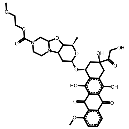 COCCOC(=O)N1CCN2C(C1)OC1C2C[C@H](O[C@H]2C[C@](O)(C(=O)CO)Cc3c(O)c4c(c(O)c32)C(=O)c2c(OC)cccc2C4=O)O[C@@H]1C